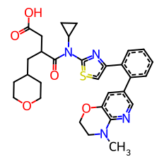 CN1CCOc2cc(-c3ccccc3-c3csc(N(C(=O)C(CC(=O)O)CC4CCOCC4)C4CC4)n3)cnc21